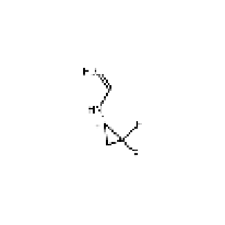 C=CN[C@H]1CC1(F)F